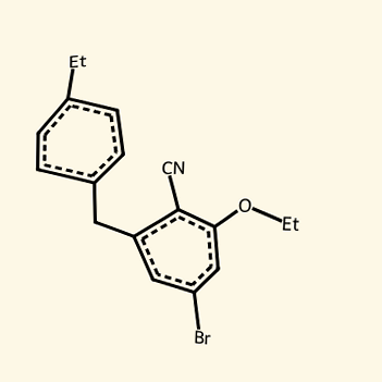 CCOc1cc(Br)cc(Cc2ccc(CC)cc2)c1C#N